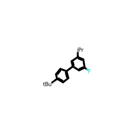 CC(C)c1cc(F)cc(-c2ccc(C(C)(C)C)cc2)c1